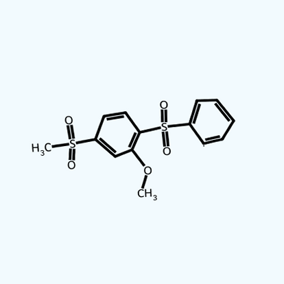 COc1cc(S(C)(=O)=O)ccc1S(=O)(=O)c1[c]cccc1